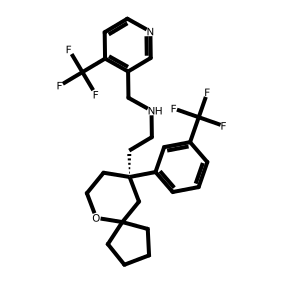 FC(F)(F)c1cccc([C@]2(CCNCc3cnccc3C(F)(F)F)CCOC3(CCCC3)C2)c1